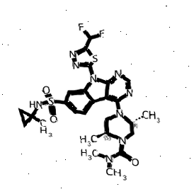 C[C@@H]1CN(C(=O)N(C)C)[C@@H](C)CN1c1ncnc2c1c1ccc(S(=O)(=O)NC3(C)CC3)cc1n2-c1nnc(C(F)F)s1